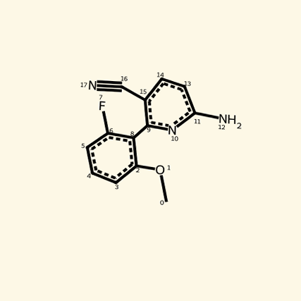 COc1cccc(F)c1-c1nc(N)ccc1C#N